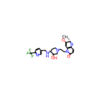 COc1cnc2ccc(=O)n(CCN3CC[C@H](NCc4ccc(C(F)(F)F)nc4)[C@H](O)C3)c2c1